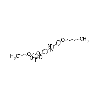 CCCCCCCCOc1ccc(-c2cnc(-c3ccc(C(=O)OC(CC(=O)OCCCCC)C(F)(F)F)cc3)nc2)cc1